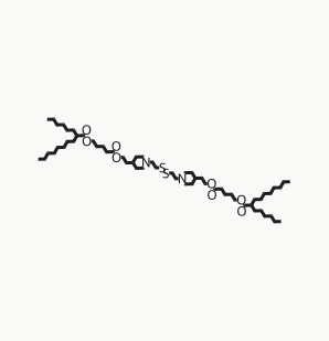 CCCCCCCCC(CCCCCC)C(=O)OCCCCC(=O)OCCC1CCN(CCSSCCN2CCC(CCOC(=O)CCCCOC(=O)C(CCCCCC)CCCCCCCC)CC2)CC1